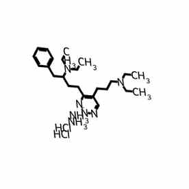 CCN(CC)CCCc1cnnnc1CCC(Cc1ccccc1)N(CC)CC.Cl.Cl.N.N